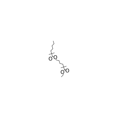 CCCCCC(C)(C)C(=O)OCCCCC(C)(C)C(=O)OCC